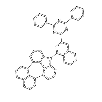 c1ccc(-c2nc(-c3ccccc3)nc(-c3cc(-n4c5cccc6c5c5c(cccc54)-c4cccc5cccc-6c45)c4ccccc4c3)n2)cc1